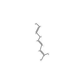 CC=CCC=CC=C(C)C